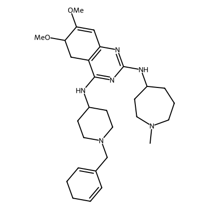 COC1=Cc2nc(NC3CCCN(C)CC3)nc(NC3CCN(CC4=CCCC=C4)CC3)c2CC1OC